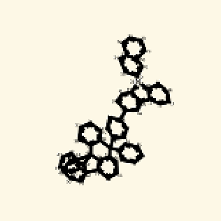 c1ccc(C2(c3ccc(-c4ccc5c(c4)c4ccccc4n5-c4ccc5ccccc5c4)cc3)c3ccccc3C3(c4ccccc4)c4ccccc4-c4cccc2c43)cc1